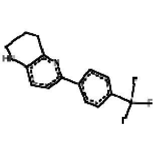 FC(F)(F)c1ccc(-c2ccc3c(n2)CCCN3)cc1